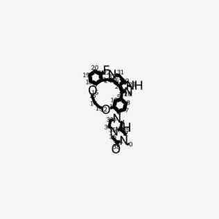 CN1C[C@H]2CN(c3ccc4cc3OCCCOc3cccc(F)c3-c3cc5c-4n[nH]c5cn3)CCN2CC1=O